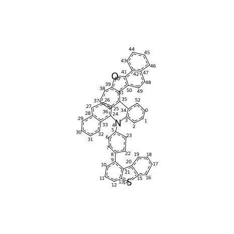 c1ccc(N(c2ccc(-c3cccc4sc5ccccc5c34)cc2)c2cccc3ccccc23)c(-c2cccc3oc4c5ccccc5ccc4c23)c1